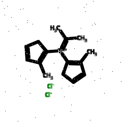 CC1=[C]([Ti+2]([C]2=C(C)C=CC2)=[C](C)C)CC=C1.[Cl-].[Cl-]